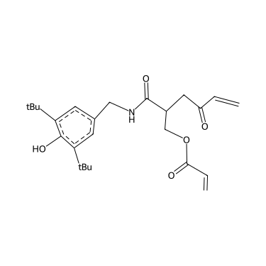 C=CC(=O)CC(COC(=O)C=C)C(=O)NCc1cc(C(C)(C)C)c(O)c(C(C)(C)C)c1